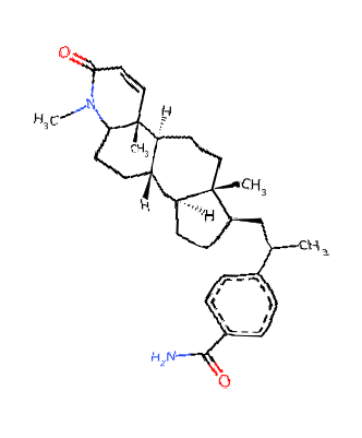 CC(C[C@H]1CC[C@H]2[C@@H]3CCC4N(C)C(=O)C=C[C@]4(C)[C@H]3CC[C@]12C)c1ccc(C(N)=O)cc1